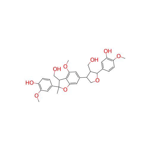 COc1ccc(C2OCC(c3cc(OC)c4c(c3)OC(C)(c3ccc(O)c(OC)c3)C4CO)C2CO)cc1O